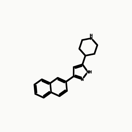 c1ccc2cc(-c3cc(C4CCNCC4)[nH]n3)ccc2c1